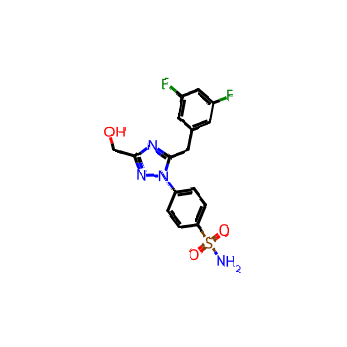 NS(=O)(=O)c1ccc(-n2nc(CO)nc2Cc2cc(F)cc(F)c2)cc1